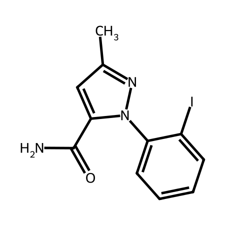 Cc1cc(C(N)=O)n(-c2ccccc2I)n1